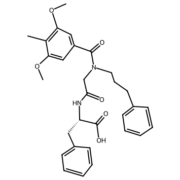 COc1cc(C(=O)N(CCCc2ccccc2)CC(=O)N[C@@H](Cc2ccccc2)C(=O)O)cc(OC)c1C